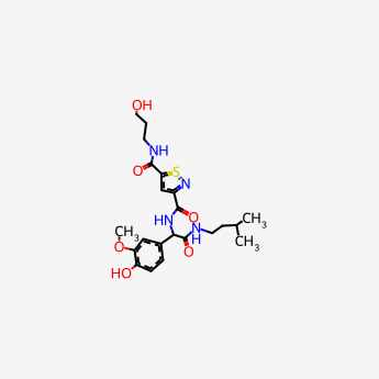 COc1cc(C(NC(=O)c2cc(C(=O)NCCCO)sn2)C(=O)NCCC(C)C)ccc1O